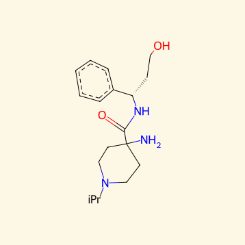 CC(C)N1CCC(N)(C(=O)N[C@@H](CCO)c2ccccc2)CC1